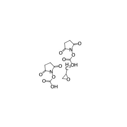 CC1CO1.O=C(O)ON1C(=O)CCC1=O.O=C(O)ON1C(=O)CCC1=O